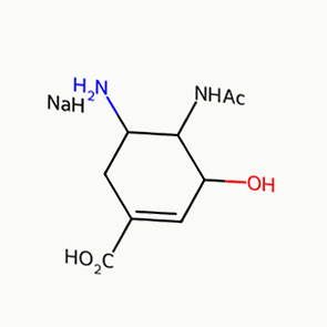 CC(=O)NC1C(O)C=C(C(=O)O)CC1N.[NaH]